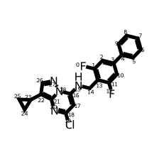 Fc1cc(-c2ccccc2)cc(F)c1CNc1cc(Cl)nc2c(C3CC3)cnn12